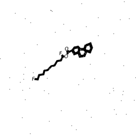 O=C(OC(F)CCCCCCCCCF)c1ccc2c(ccc3ccccc32)c1